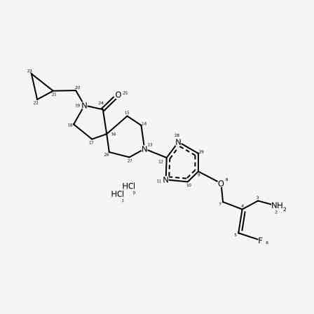 Cl.Cl.NC/C(=C\F)COc1cnc(N2CCC3(CCN(CC4CC4)C3=O)CC2)nc1